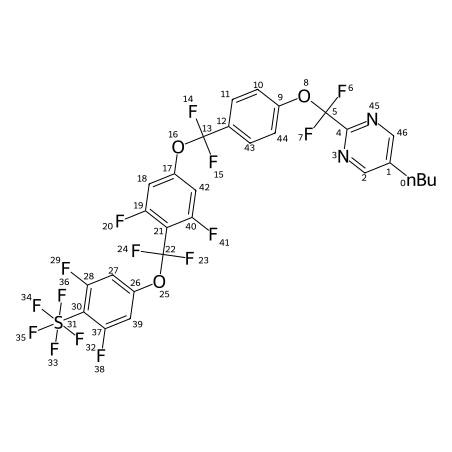 CCCCc1cnc(C(F)(F)Oc2ccc(C(F)(F)Oc3cc(F)c(C(F)(F)Oc4cc(F)c(S(F)(F)(F)(F)F)c(F)c4)c(F)c3)cc2)nc1